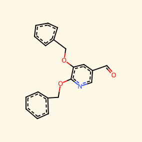 O=Cc1cnc(OCc2ccccc2)c(OCc2ccccc2)c1